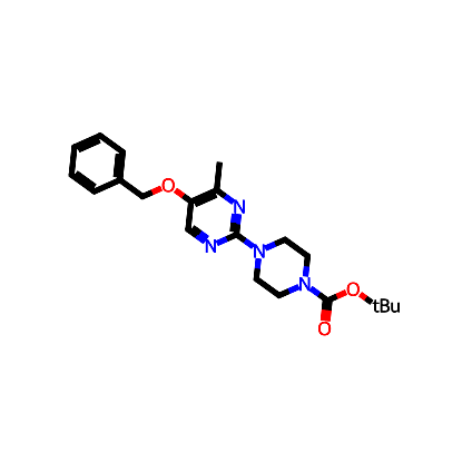 Cc1nc(N2CCN(C(=O)OC(C)(C)C)CC2)ncc1OCc1ccccc1